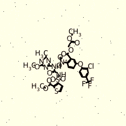 CCOC(=O)COC(=O)c1cc(Oc2ccc(C(F)(F)F)cc2Cl)ccc1[N+](=O)[O-].COC(=O)c1sccc1S(=O)(=O)NC(=O)Nc1nc(C)nc(OC)n1